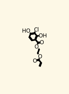 C=CC(=O)OCCOC(=O)c1ccc(O)c(Cl)c1O